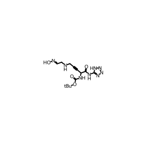 CC(C)(C)OC(=O)NC(C#CCNC/C=N/O)C(=O)Nc1nnn[nH]1